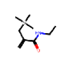 C=C(C[Si](C)(C)C)C(=O)NCC